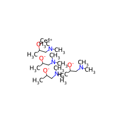 CC([O-])CN(C)C.CC([O-])CN(C)C.CC([O-])CN(C)C.CC([O-])CN(C)C.[Ce+4]